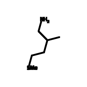 CSCCC(C)CN